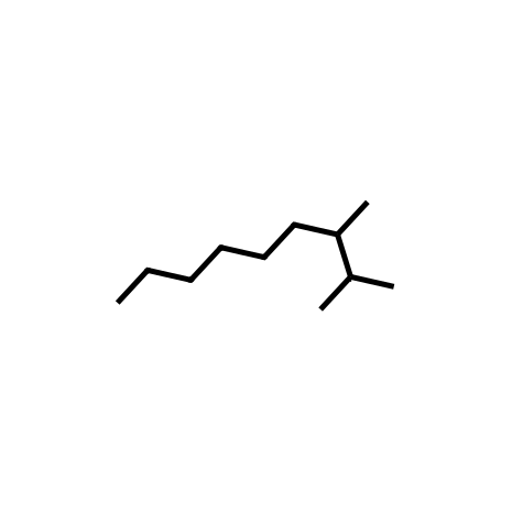 CCCCCCC(C)[C](C)C